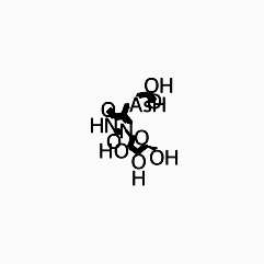 O=C(O)C[AsH]Cc1cn([C@H]2O[C@@H](CO)C(O)C2O)c(=O)[nH]c1=O